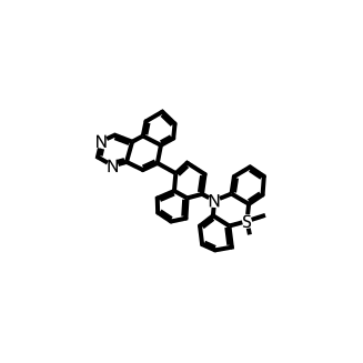 CS1(C)c2ccccc2N(c2ccc(-c3cc4ncncc4c4ccccc34)c3ccccc23)c2ccccc21